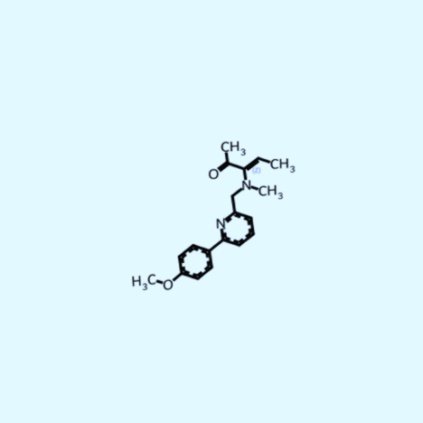 C/C=C(/C(C)=O)N(C)Cc1cccc(-c2ccc(OC)cc2)n1